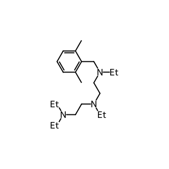 CCN(CC)CCN(CC)CCN(CC)Cc1c(C)cccc1C